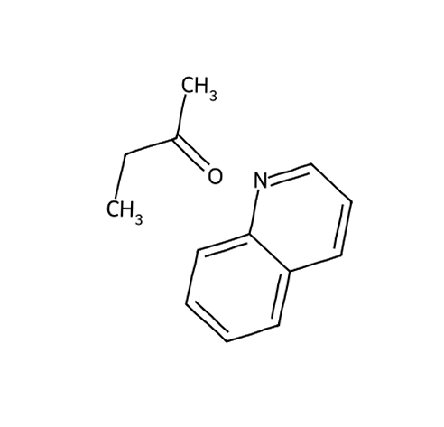 CCC(C)=O.c1ccc2ncccc2c1